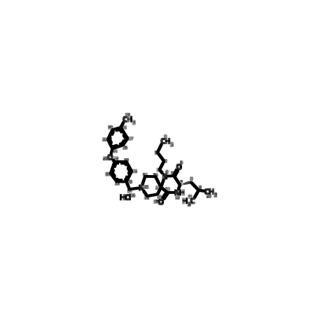 CCCCN1C(=O)[C@H](CC(C)C)NC(=O)C12CCN(Cc1ccc(Oc3ccc(C)cc3)cc1)CC2.Cl